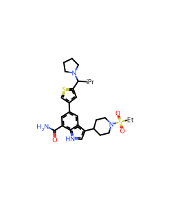 CCS(=O)(=O)N1CCC(c2c[nH]c3c(C(N)=O)cc(-c4csc(C(C(C)C)N5CCCC5)c4)cc23)CC1